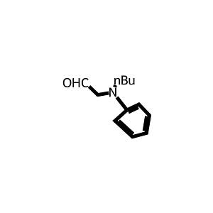 CCCCN(CC=O)c1ccccc1